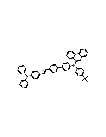 CC(C)(C)c1ccc(N(c2ccc(-c3ccc(/C=C/c4ccc(N(c5ccccc5)c5ccccc5)cc4)cc3)cc2)c2cc3ccccc3c3ccccc23)cc1